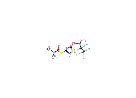 CC(Oc1nc(SC(=O)N(C)C)ns1)C(F)(F)C(F)(F)F